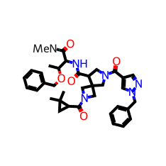 CNC(=O)C(NC(=O)C1CN(C(=O)c2cnn(Cc3ccccc3)c2)CC12CN(C(=O)C1CC1(C)C)C2)C(C)OCc1ccccc1